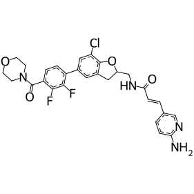 Nc1ccc(C=CC(=O)NCC2Cc3cc(-c4ccc(C(=O)N5CCOCC5)c(F)c4F)cc(Cl)c3O2)cn1